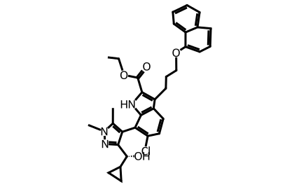 CCOC(=O)c1[nH]c2c(-c3c([C@H](O)C4CC4)nn(C)c3C)c(Cl)ccc2c1CCCOc1cccc2ccccc12